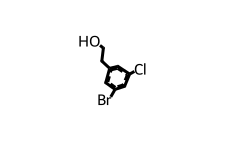 OCCc1cc(Cl)cc(Br)c1